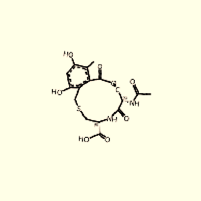 CC(=O)N[C@H]1COC(=O)c2c(C)c(O)cc(O)c2CSC[C@@H](C(=O)O)NC1=O